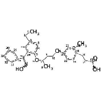 CCc1ccc(OC(C)CCOc2ccc(CCC(=O)O)c(C)c2)c(C(=NO)c2ccccc2)c1